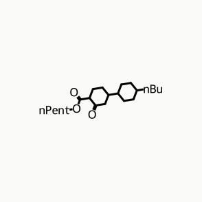 CCCCCOC(=O)C1CCC(C2CCC(CCCC)CC2)CC1=O